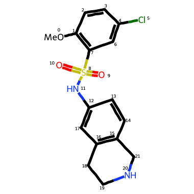 COc1ccc(Cl)cc1S(=O)(=O)Nc1ccc2c(c1)CCNC2